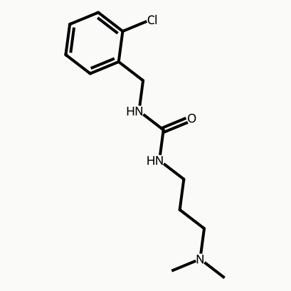 CN(C)CCCNC(=O)NCc1ccccc1Cl